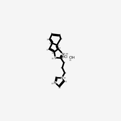 C1=CCC2=c3nc(CCCn4ccnc4)sc3=CC2=C1.Cl.Cl